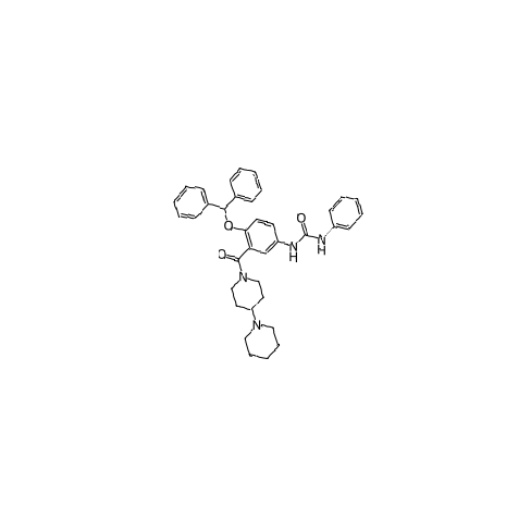 O=C(Nc1ccccc1)Nc1ccc(OC(c2ccccc2)c2ccccc2)c(C(=O)N2CCC(N3CCCCC3)CC2)c1